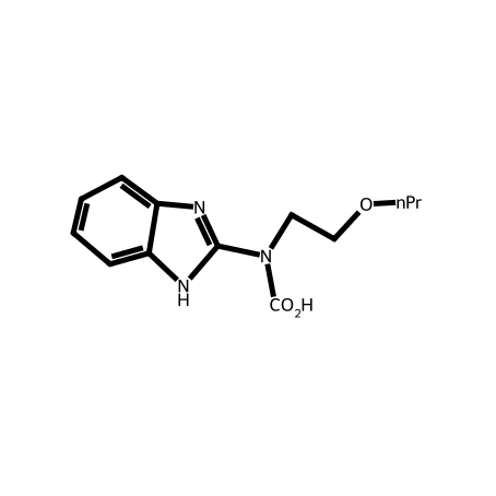 CCCOCCN(C(=O)O)c1nc2ccccc2[nH]1